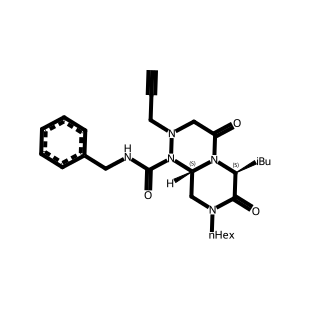 C#CCN1CC(=O)N2[C@@H](C(C)CC)C(=O)N(CCCCCC)C[C@@H]2N1C(=O)NCc1ccccc1